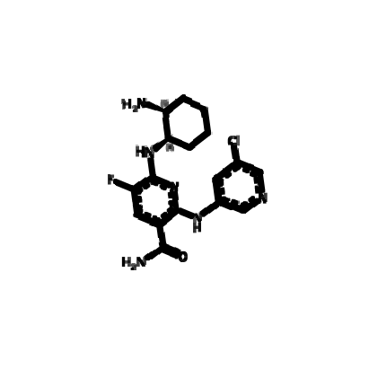 NC(=O)c1cc(F)c(N[C@@H]2CCCC[C@@H]2N)nc1Nc1cncc(Cl)c1